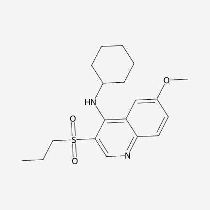 CCCS(=O)(=O)c1cnc2ccc(OC)cc2c1NC1CCCCC1